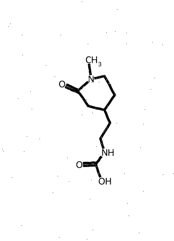 CN1CCC(CCNC(=O)O)CC1=O